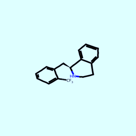 FC(F)(F)c1ccccc1C[C@@H]1NCCc2ccccc21